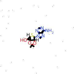 CC1(C)O[C@H]2[C@H](n3cnc4c(N)ncnc43)S[C@@H]3C(O)[C@@]32O1